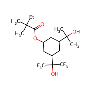 CCC(C)(C)C(=O)OC1CC(C(C)(C)O)CC(C(O)(C(F)(F)F)C(F)(F)F)C1